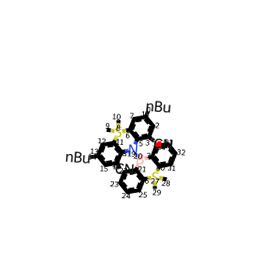 CCCCc1cc(C#N)c2c(c1)S(C)(C)c1cc(CCCC)cc(C#N)c1N2B1c2ccccc2S(C)(C)c2ccccc21